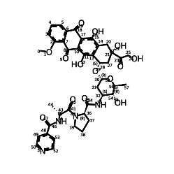 COc1cccc2c1C(=O)c1c(O)c3c(c(O)c1C2=O)C[C@@](O)(C(=O)CO)C[C@@H]3O[C@H]1C[C@H](NC(=O)[C@H]2CCCN2C(=O)[C@@H](C)NC(=O)c2ccncc2)[C@@H](O)[C@H](C)O1